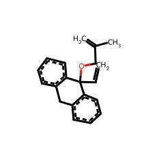 C=CC1(OCC(=C)C)c2ccccc2Cc2ccccc21